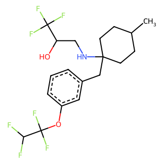 CC1CCC(Cc2cccc(OC(F)(F)C(F)F)c2)(NCC(O)C(F)(F)F)CC1